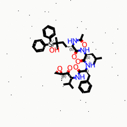 CC(=O)N[C@@H](CCC(C)(C)[Si](O)(c1ccccc1)c1ccccc1)C(=O)N[C@@H](CC(C)C)C(=O)N[C@@H](Cc1ccccc1)C(=O)NC(C(=O)[C@@]1(C)CO1)C(C)C